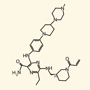 C=CC(=O)N1CCC[C@@H](CNc2nc(Nc3ccc(N4CCC(N5CCN(C)CC5)CC4)cc3)c(C(N)=O)nc2CC)C1